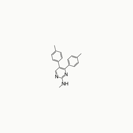 CNc1ncc(-c2ccc(C)cc2)c(-c2ccc(C)cc2)n1